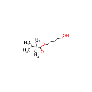 CC(C)C(C)(C)C(=O)OCCCCCO